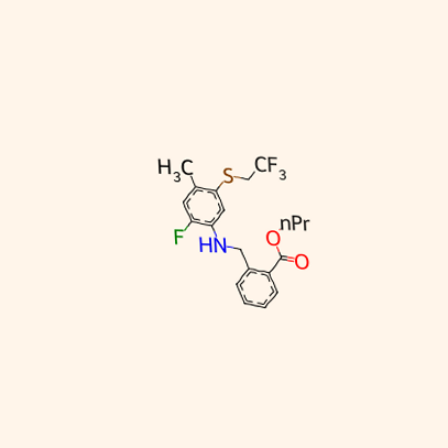 CCCOC(=O)c1ccccc1CNc1cc(SCC(F)(F)F)c(C)cc1F